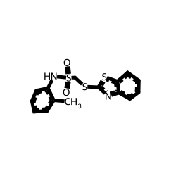 Cc1ccccc1NS(=O)(=O)CSc1nc2ccccc2s1